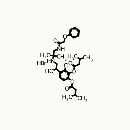 Br.CC(C)CC(=O)Oc1ccc(C(O)CNC(C)(C)CNC(=O)COc2ccccc2)c(Cl)c1OC(=O)CC(C)C